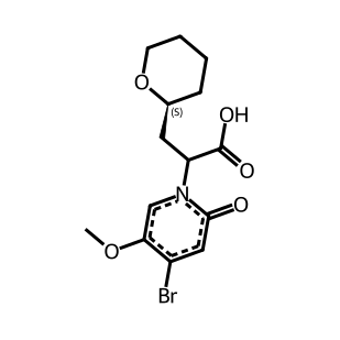 COc1cn(C(C[C@@H]2CCCCO2)C(=O)O)c(=O)cc1Br